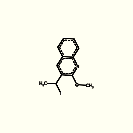 COc1nc2ccccc2cc1C(C)I